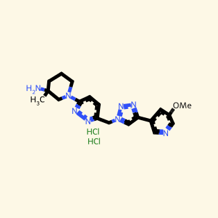 COc1cncc(-c2cn(Cc3ccc(N4CCCC(C)(N)C4)nn3)nn2)c1.Cl.Cl